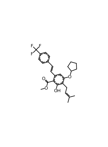 COC(=O)c1c(C=Cc2ccc(C(F)(F)F)cc2)cc(OC2CCCC2)c(CC=C(C)C)c1O